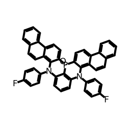 O=P12c3ccc4c(ccc5ccccc54)c3N(c3ccc(F)cc3)c3cccc(c31)N(c1ccc(F)cc1)c1c2ccc2c1ccc1ccccc12